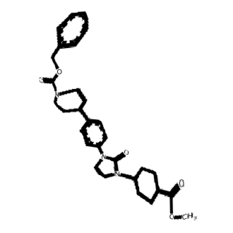 COC(=O)C1CCC(N2CCN(c3ccc(C4CCN(C(=O)OCc5ccccc5)CC4)cc3)C2=O)CC1